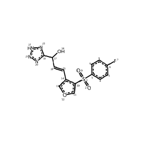 O=S(=O)(c1ccc(F)cc1)c1cocc1C=CC(O)c1nn[nH]n1